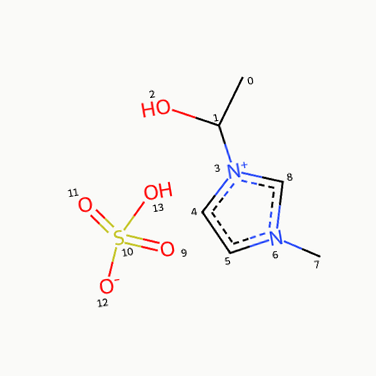 CC(O)[n+]1ccn(C)c1.O=S(=O)([O-])O